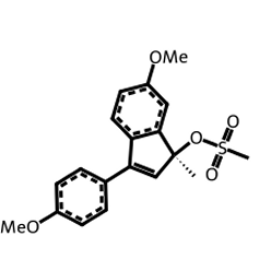 COc1ccc(C2=C[C@](C)(OS(C)(=O)=O)c3cc(OC)ccc32)cc1